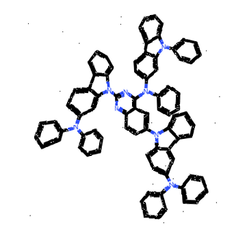 c1ccc(N(c2ccccc2)c2ccc3c(c2)c2ccccc2n3-c2ccc3nc(-n4c5ccccc5c5ccc(N(c6ccccc6)c6ccccc6)cc54)nc(N(c4ccccc4)c4ccc5c6ccccc6n(-c6ccccc6)c5c4)c3c2)cc1